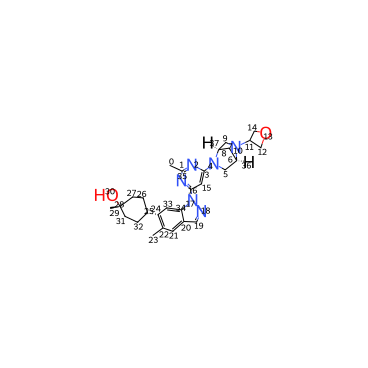 Cc1nc(N2C[C@H]3C[C@@H]2CN3C2COC2)cc(-n2ncc3cc(C)c([C@H]4CC[C@@](C)(O)CC4)cc32)n1